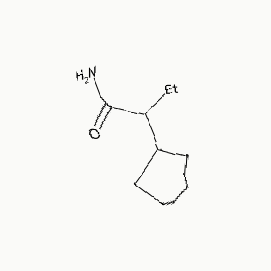 CCC([C]1CCCC1)C(N)=O